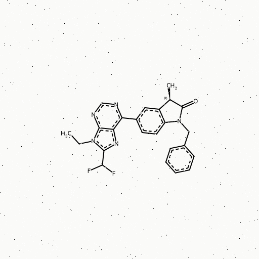 CCn1c(C(F)F)nc2c(-c3ccc4c(c3)[C@@H](C)C(=O)N4Cc3ccccc3)ncnc21